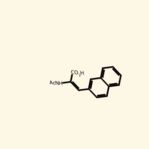 CC(=O)NC(=Cc1ccc2ccccc2c1)C(=O)O